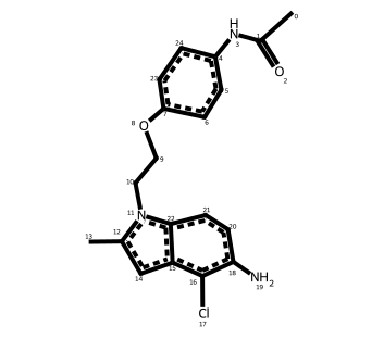 CC(=O)Nc1ccc(OCCn2c(C)cc3c(Cl)c(N)ccc32)cc1